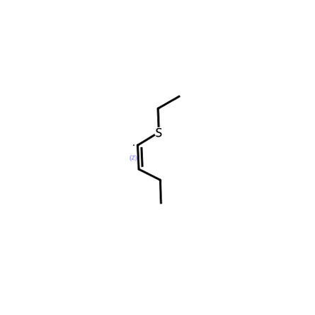 CC/C=[C]\SCC